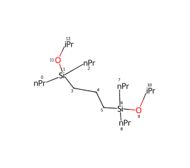 CCC[Si](CCC)(CCC[Si](CCC)(CCC)OC(C)C)OC(C)C